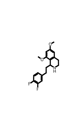 COc1cc2c(c(OC)c1)C(CCc1ccc(F)c(F)c1)NCC2